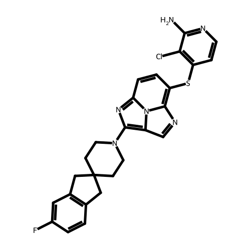 Nc1nccc(Sc2ccc3nc(N4CCC5(CC4)Cc4ccc(F)cc4C5)c4cnc2n34)c1Cl